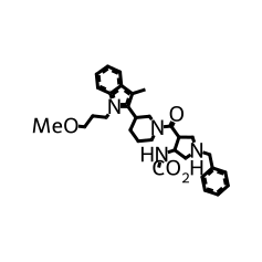 COCCCn1c(C2CCCN(C(=O)C3CN(Cc4ccccc4)CC3NC(=O)O)C2)c(C)c2ccccc21